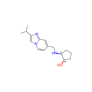 CC(C)c1cn2ccc(CN[C@H]3CCC[C@H]3O)cc2n1